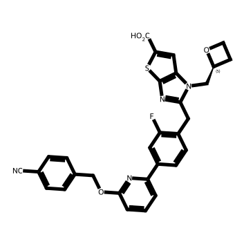 N#Cc1ccc(COc2cccc(-c3ccc(Cc4nc5sc(C(=O)O)cc5n4C[C@@H]4CCO4)c(F)c3)n2)cc1